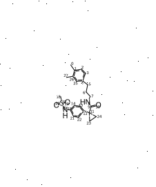 Cc1ccc(CCCNC(=O)C2(c3ccc(NS(C)(=O)=O)cc3)CC2)cc1C